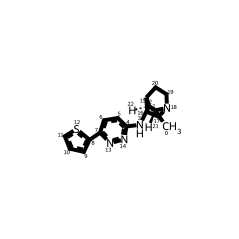 C[C@@H]1[C@@H](Nc2ccc(-c3cccs3)nn2)C2CCN1CC2